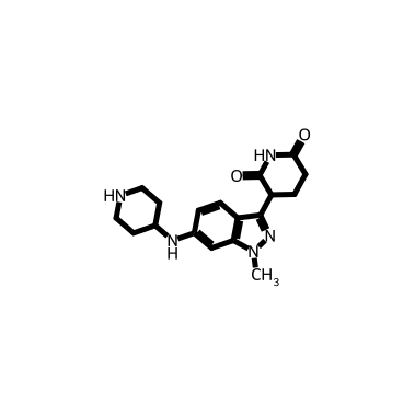 Cn1nc(C2CCC(=O)NC2=O)c2ccc(NC3CCNCC3)cc21